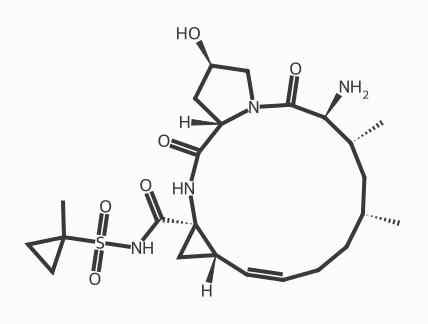 C[C@@H]1CC/C=C\[C@@H]2C[C@@]2(C(=O)NS(=O)(=O)C2(C)CC2)NC(=O)[C@@H]2C[C@@H](O)CN2C(=O)[C@@H](N)[C@H](C)C1